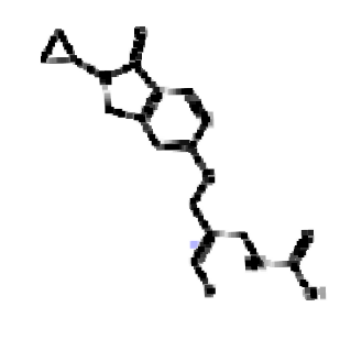 O=C(O)NC/C(=C\F)COc1cc2c(cn1)C(=O)N(C1CC1)C2